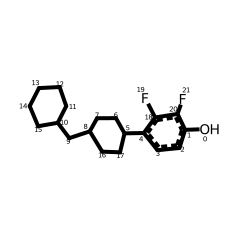 Oc1ccc(C2CCC(CC3CCCCC3)CC2)c(F)c1F